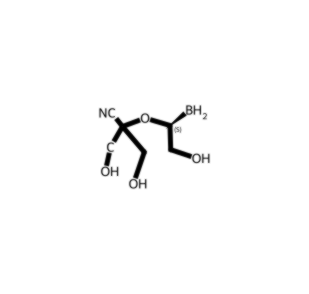 B[C@@H](CO)OC(C#N)(CO)CO